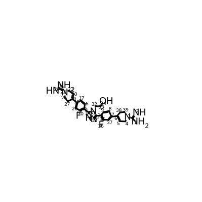 N=C(N)N1CC=C(c2ccc(-c3nnc(-c4ccc(C5=CCN(C(=N)N)CC5)cc4F)n3CCO)c(F)c2)CC1